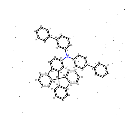 c1ccc(-c2ccc(N(c3cccc(-c4ccccc4)c3)c3ccc4c(c3)C3(c5ccccc5-c5ccccc53)c3ccccc3-4)cc2)cc1